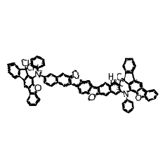 CC1(C)c2ccccc2-c2cc3c(oc4ccccc43)c(N(c3ccccc3)c3ccc4cc5c(cc4c3)oc3cc4c(cc35)oc3cc5cc(N(c6ccccc6)c6c7c(cc8c6oc6ccccc68)-c6ccccc6C7(C)C)ccc5cc34)c21